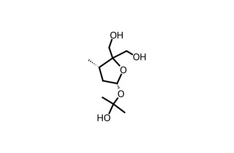 C[C@H]1C[C@@H](OC(C)(C)O)OC1(CO)CO